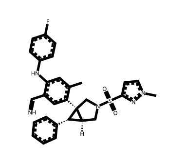 Cc1cc(Nc2ccc(F)cc2)c(C=N)cc1[C@]12CN(S(=O)(=O)c3ccn(C)n3)C[C@H]1[C@@H]2c1ccccc1